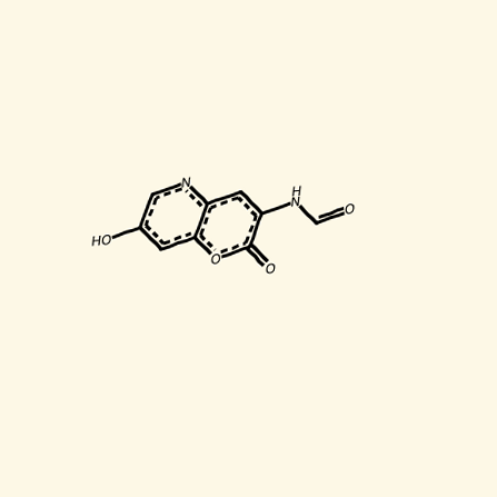 O=CNc1cc2ncc(O)cc2oc1=O